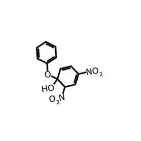 O=[N+]([O-])C1=CC([N+](=O)[O-])C(O)(Oc2ccccc2)C=C1